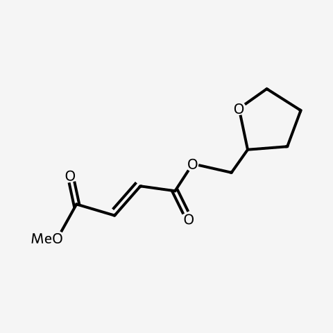 COC(=O)/C=C/C(=O)OCC1CCCO1